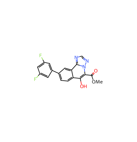 COC(=O)c1c(O)c2ccc(-c3cc(F)cc(F)c3)cc2c2ncnn12